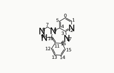 c1cnc2c(c1)N1CN=NC1=c1ccccc1=N2